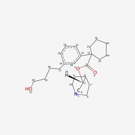 O=C(O[C@H]1CN2CCC1CC2)C1(c2cccc(CCCCO)c2)CCCCC1